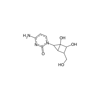 Nc1ccn(C2C3C(CO)C(O)C32O)c(=O)n1